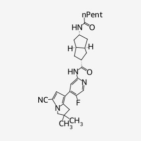 CCCCCC(=O)N[C@H]1C[C@@H]2C[C@@H](C(=O)Nc3cc(-c4cc(C#N)n5c4CC(C)(C)C5)c(F)cn3)C[C@@H]2C1